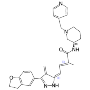 C=c1c(-c2ccc3c(c2)CCO3)n[nH]/c1=C/C=C(\C)C(=O)N[C@@H]1CCCN(Cc2ccncc2)C1